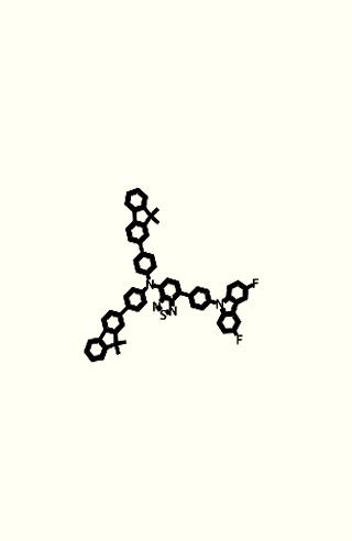 CC1(C)c2ccccc2-c2ccc(-c3ccc(N(c4ccc(-c5ccc6c(c5)C(C)(C)c5ccccc5-6)cc4)c4ccc(-c5ccc(-n6c7ccc(F)cc7c7cc(F)ccc76)cc5)c5nsnc45)cc3)cc21